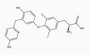 N[C@@H](Cc1cc(I)c(Oc2ccc(O)c(Cc3ccc(O)cn3)c2)c(I)c1)C(=O)O